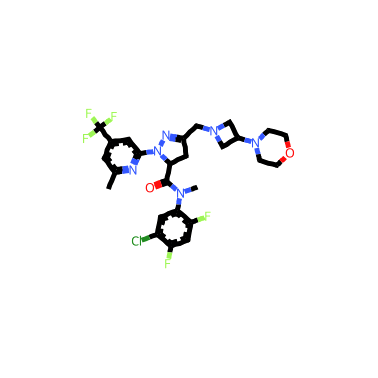 Cc1cc(C(F)(F)F)cc(N2N=C(CN3CC(N4CCOCC4)C3)CC2C(=O)N(C)c2cc(Cl)c(F)cc2F)n1